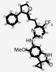 COc1cc2c(cc1Nc1ncc(C(F)(F)F)c(C/C=C3\OCCC3c3ccccc3)n1)NC(=O)C21CC1